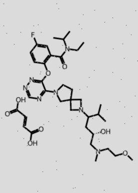 CCN(C(=O)c1cc(F)ccc1Oc1nncnc1N1CCC2(C1)CN(C(C[C@H](O)CN(C)CCOC)C(C)C)C2)C(C)C.O=C(O)/C=C/C(=O)O